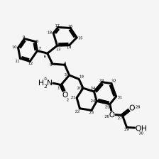 NC(=O)C(CCC(c1ccccc1)c1ccccc1)CC1CCCc2c(OC(=O)CO)cccc21